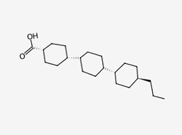 CCC[C@H]1CC[C@H](C2CCC([C@H]3CC[C@@H](C(=O)O)CC3)CC2)CC1